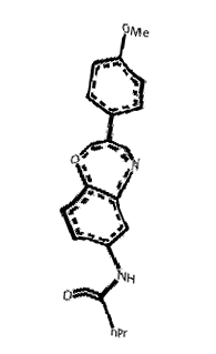 CCCC(=O)Nc1ccc2oc(-c3ccc(OC)cc3)nc2c1